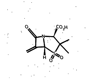 C=C1C(=O)N2[C@@H](C(=O)O)C(C)(C)S(=O)(=O)[C@H]12